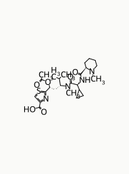 CC(=O)O[C@H](C[C@H](C(C)C)N(C)C(=O)[C@@H](NC(=O)[C@H]1CCCCN1C)C1CC1)c1nc(C(=O)O)cs1